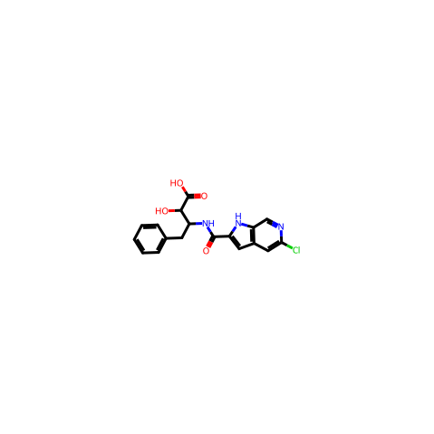 O=C(NC(Cc1ccccc1)C(O)C(=O)O)c1cc2cc(Cl)ncc2[nH]1